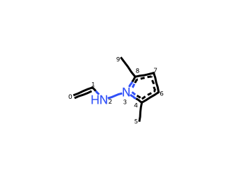 C=CNn1c(C)ccc1C